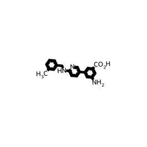 Cc1cccc(CNc2ccc(-c3cc(N)cc(C(=O)O)c3)cn2)c1